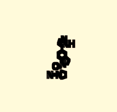 N#CN1CCC[C@H]1C(=O)N1CCc2cc(-c3ccn[nH]3)ccc21